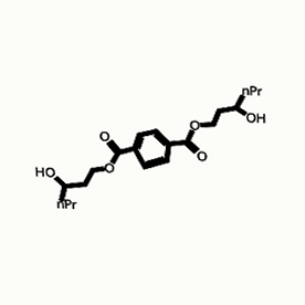 CCCC(O)CCOC(=O)c1ccc(C(=O)OCCC(O)CCC)cc1